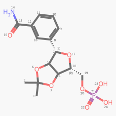 CC1(C)OC2C(O1)[C@H](c1cccc(C(N)=O)c1)O[C@@H]2COP(=O)(O)O